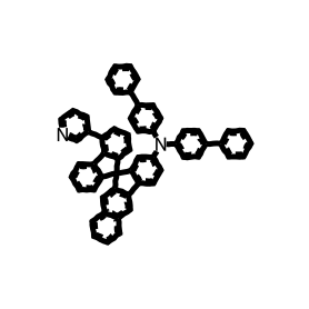 c1ccc(-c2ccc(N(c3ccc(-c4ccccc4)cc3)c3ccc4c(c3)C3(c5cc6ccccc6cc5-4)c4ccccc4-c4c(-c5cccnc5)cccc43)cc2)cc1